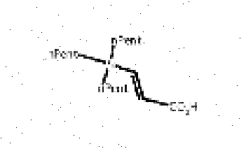 CCCCC[Si](C=CC(=O)O)(CCCCC)CCCCC